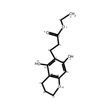 CCOC(=O)CCc1c(O)cc2c(c1O)CCCO2